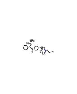 C#CCC/C(CC)=C(\C)C(=O)NC1CCC(Nc2cc(C(C)(C)C)nc3ccccc23)CC1